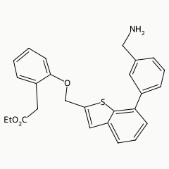 CCOC(=O)Cc1ccccc1OCc1cc2cccc(-c3cccc(CN)c3)c2s1